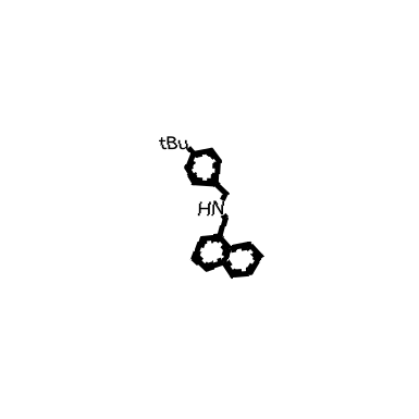 CC(C)(C)c1ccc(CNCc2cccc3ccccc23)cc1